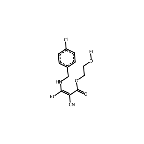 CCOCCOC(=O)C(C#N)=C(CC)NCc1ccc(Cl)cc1